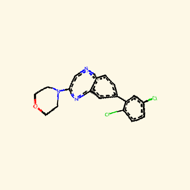 Clc1ccc(Cl)c(-c2ccc3ncc(N4CCOCC4)nc3c2)c1